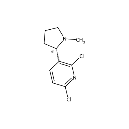 CN1CCC[C@H]1c1ccc(Cl)nc1Cl